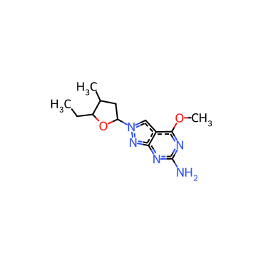 CCC1OC(n2cc3c(OC)nc(N)nc3n2)CC1C